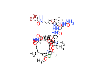 COc1cc(NC(=O)[C@H](CCCNC(N)=O)NC(=O)[C@@H](NC(=O)CCCCCNC(=O)C(CBr)CBr)C(C)C)ccc1C(=O)N(C)[C@@H](C)C(=O)O[C@H]1CC(=O)N(C)c2cc(cc(OC)c2Cl)C/C(C)=C/C=C/[C@@H](OC)[C@@]2(O)C[C@H](OC(=O)N2)[C@@H](C)[C@@H]2O[C@@]12C